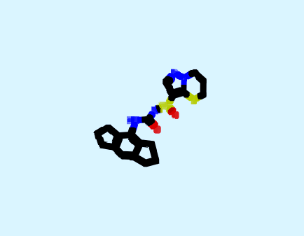 O=C(/N=[SH](=O)/c1cnn2c1SCCC2)Nc1c2c(cc3c1CCC3)CCC2